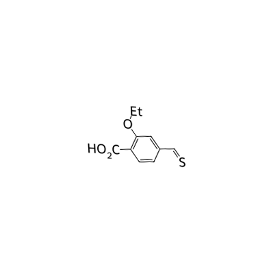 CCOc1cc(C=S)ccc1C(=O)O